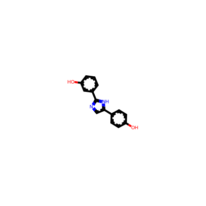 Oc1ccc(-c2cnc(-c3cccc(O)c3)[nH]2)cc1